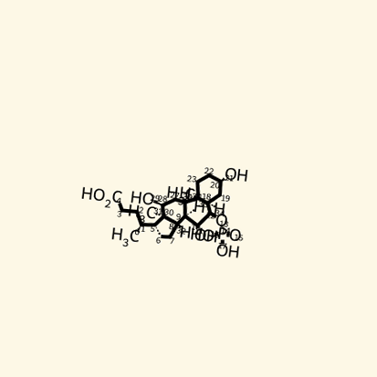 C[C@H](CCC(=O)O)[C@H]1CC[C@H]2[C@@H]3[C@H](O)C(OP(=O)(O)O)[C@@H]4C[C@H](O)CC[C@]4(C)[C@H]3C[C@H](O)[C@]12C